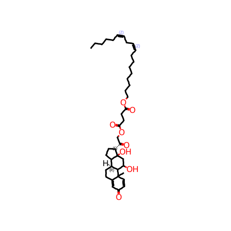 CCCCC/C=C\C/C=C\CCCCCCCCOC(=O)CCC(=O)OCC(=O)[C@H]1CCC2[C@@H]3CCC4=CC(=O)C=CC4(C)C3C(O)CC21O